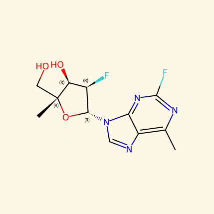 Cc1nc(F)nc2c1ncn2[C@@H]1O[C@](C)(CO)[C@@H](O)[C@H]1F